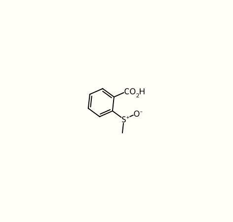 C[S+]([O-])c1ccccc1C(=O)O